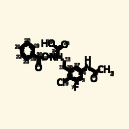 CC(=O)Nc1cc(F)c(Cl)c(CC[C@H](NOC(=O)c2ccccc2)C(=O)O)c1